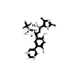 Cc1nc(C)c([C@H](O)C[C@](C)(N[S+]([O-])C(C)(C)C)c2cc(-c3cncnc3)c(F)cc2F)o1